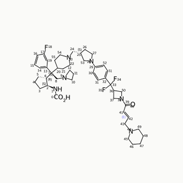 O=C(O)N[C@H]1CCC[C@@H]1[C@](CN1CCC1)(c1cccc(F)c1)C1CCN(C[C@@H]2CCN(c3ccc(C(F)(F)C4CN(C(=O)/C=C/CN5CCCCC5)C4)cc3)C2)CC1